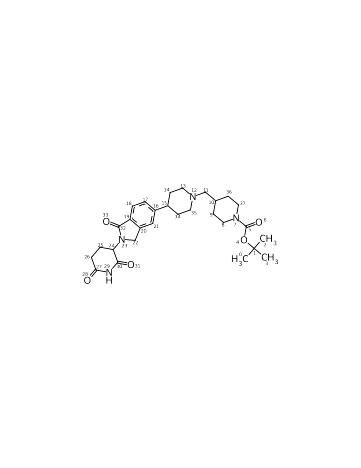 CC(C)(C)OC(=O)N1CCC(CN2CCC(c3ccc4c(c3)CN(C3CCC(=O)NC3=O)C4=O)CC2)CC1